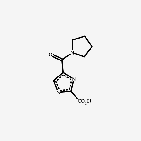 CCOC(=O)c1nc(C(=O)N2CCCC2)cs1